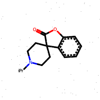 CC(C)N1CCC2(CC1)C(=O)Oc1ccccc12